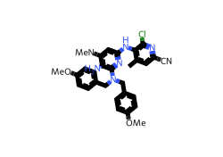 CNc1cc(Nc2c(C)cc(C#N)nc2Cl)nc(N(Cc2ccc(OC)cc2)Cc2ccc(OC)cc2)c1N